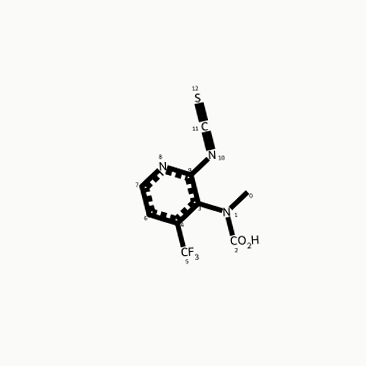 CN(C(=O)O)c1c(C(F)(F)F)ccnc1N=C=S